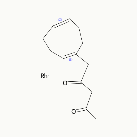 CC(=O)CC(=O)C/C1=C/CC/C=C\CC1.[Rh]